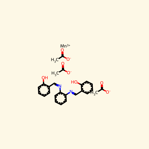 CC(=O)[O-].CC(=O)[O-].CC(=O)[O-].Oc1ccccc1/C=N\c1ccccc1/N=C/c1ccccc1O.[Mn+3]